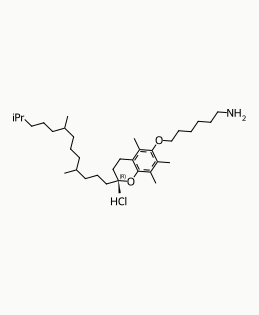 Cc1c(C)c2c(c(C)c1OCCCCCCN)CC[C@@](C)(CCCC(C)CCCC(C)CCCC(C)C)O2.Cl